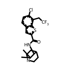 CC1(C)C(NC(=O)c2cc3ccc(Cl)c(CC(F)(F)F)c3s2)C2CCN1CC2